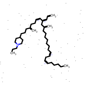 C=C/C=C(\C=C/CCC(=C)CCCC1CCN(CCC)CC1)CC(=C)CCCCCCC/C=C\C/C=C\CCCCC